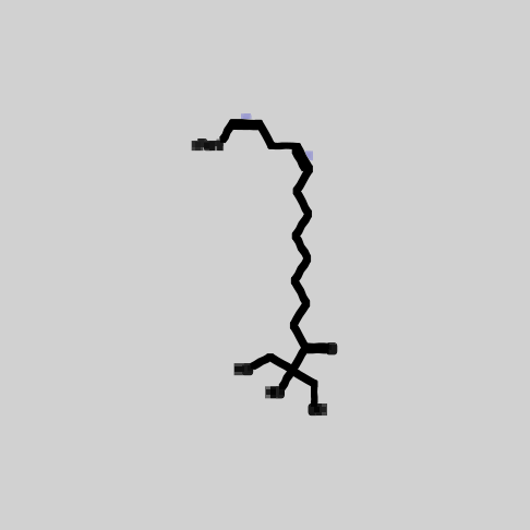 CCCCC/C=C\C/C=C\CCCCCCCC(=O)C(O)(CO)CO